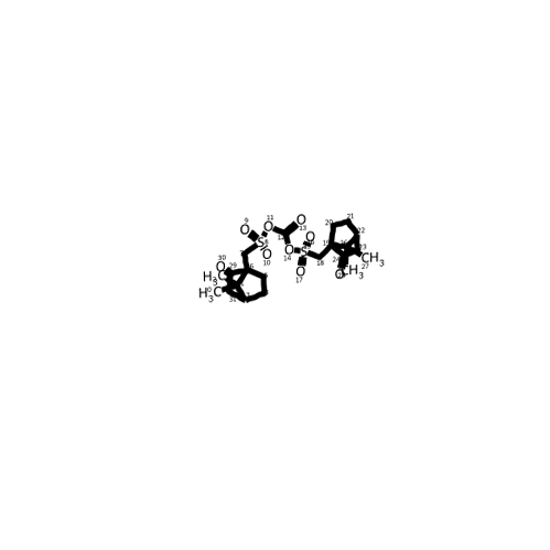 CC1(C)C2CCC1(CS(=O)(=O)OC(=O)OS(=O)(=O)CC13CCC(CC1=O)C3(C)C)C(=O)C2